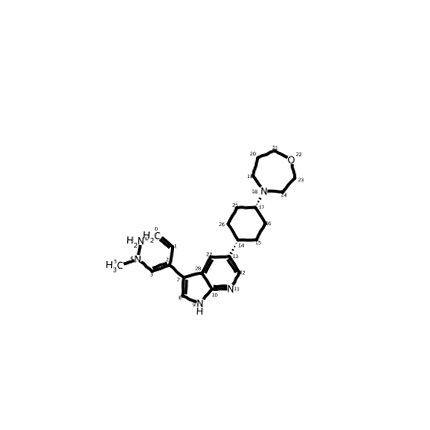 C=C/C(=C\N(C)N)c1c[nH]c2ncc([C@H]3CC[C@@H](N4CCCOCC4)CC3)cc12